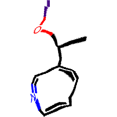 CC(OI)c1cccnc1